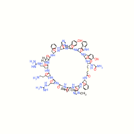 CC[C@H](C)C1NC(=O)C(C)(C)NC(=O)C(Cc2cncn2C)NC(=O)C(Cc2ccccc2)NC(=O)CSCC(C(=O)NCC(N)=O)NC(=O)C(Cc2ccc(O)cc2)NC(=O)C(Cc2c[nH]c3ccccc23)NC(=O)C(Cc2ccc(O)cc2)NC(=O)C(Cc2cncn2C)NC(=O)C(Cc2ccccc2)NC(=O)C(C)(C)NC(=O)C(CCCNC(=N)N)NC(=O)C(CCCCN)NC(=O)C(CCCNC(=N)N)NC1=O